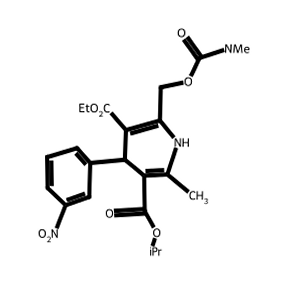 CCOC(=O)C1=C(COC(=O)NC)NC(C)=C(C(=O)OC(C)C)C1c1cccc([N+](=O)[O-])c1